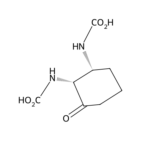 O=C(O)N[C@@H]1CCCC(=O)[C@@H]1NC(=O)O